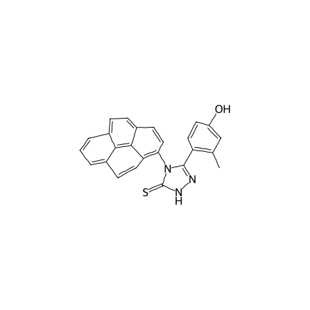 Cc1cc(O)ccc1-c1n[nH]c(=S)n1-c1ccc2ccc3cccc4ccc1c2c34